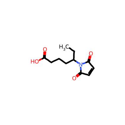 CCC(CCCC(=O)O)N1C(=O)C=CC1=O